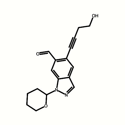 O=Cc1cc2c(cnn2C2CCCCO2)cc1C#CCCO